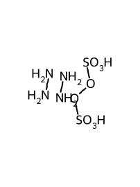 NN.NN.O=S(=O)(O)OOS(=O)(=O)O